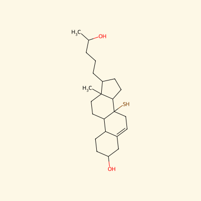 CC(O)CCCC1CCC2C1(C)CCC1C3CCC(O)CC3=CCC12S